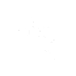 CC(C)(C)OC(=O)N(C1CC1)[C@@H]1CCN(c2cnc(C(=O)O)cn2)C1.[Li]